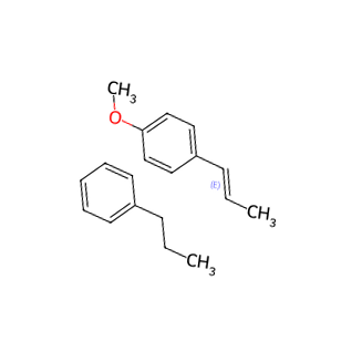 C/C=C/c1ccc(OC)cc1.CCCc1ccccc1